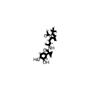 C=c1cc(C(C)(C)C)n(C(C)=O)/c1=C/C=C(\C)NC(=O)C1(c2ccc(O)c(O)c2)CC1